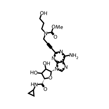 COC(=O)N(CC#Cc1nc(N)c2ncn([C@@H]3O[C@H](C(=O)NC4CC4)C(O)C3O)c2n1)CCCO